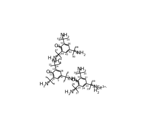 CC(C)(N)c1cc(C(C)(C)N)c([O-])c(C(C)(C)N)c1.CC(C)(N)c1cc(C(C)(C)N)c([O-])c(C(C)(C)N)c1.CC(C)(N)c1cc(C(C)(C)N)c([O-])c(C(C)(C)N)c1.[Fe+3]